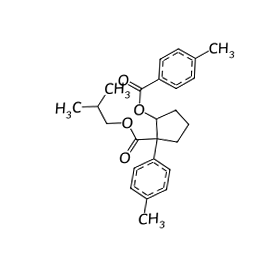 Cc1ccc(C(=O)OC2CCCC2(C(=O)OCC(C)C)c2ccc(C)cc2)cc1